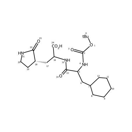 CC(C)(C)OC(=O)NC(CC1CCCCC1)C(=O)NC(C[C@@H]1CCNC1=O)C(=O)O